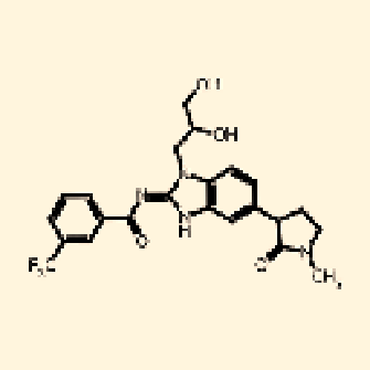 CN1CCC(c2ccc3c(c2)[nH]/c(=N\C(=O)c2cccc(C(F)(F)F)c2)n3CC(O)CO)C1=O